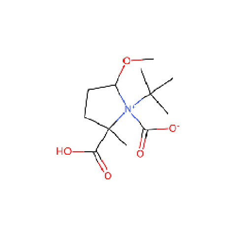 COC1CCC(C)(C(=O)O)[N+]1(C(=O)[O-])C(C)(C)C